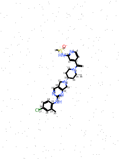 C=C(c1ccnc(N[S+](C)[O-])c1)N1CC[C@@H](N2Cc3cnc(Nc4ccc(Cl)cc4C)nc3C2)C[C@H]1C